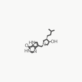 CC(C)CC[C@@H]1CN(Cc2c[nH]c3c(=O)[nH]cnc23)C[C@@H]1O